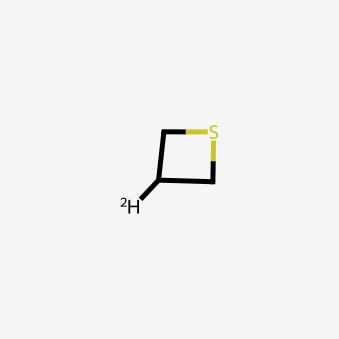 [2H]C1CSC1